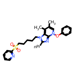 CCCC1N=C2C(=C(C)C(C)=CN2Oc2ccccc2)N1CCCCCS(=O)(=O)c1ccccn1